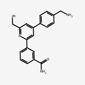 CC(C)Cc1[c]c(-c2ccc(CN)cc2)cc(-c2cccc(C(N)=O)c2)n1